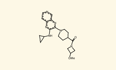 COC1CN(C(=O)C2CCN(c3nc4cnccc4nc3NC3CC3)CC2)C1